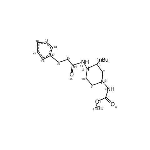 CCCCC1CN(NC(=O)OC(C)(C)C)CCN1NC(=O)CCc1ccccc1